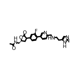 CC(=O)NC[C@@H]1CC(c2ccc(-c3ccc(CNCCc4cnn[nH]4)nc3)c(F)c2)C(=O)O1